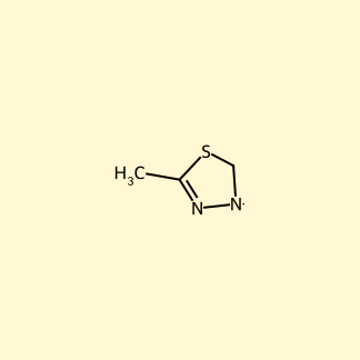 CC1=N[N]CS1